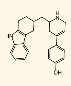 Oc1ccc(C2=CCNC(CC3CCc4[nH]c5ccccc5c4C3)C2)cc1